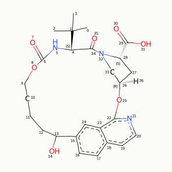 CC(C)(C)[C@@H]1NC(=O)OCCCCC(O)c2ccc3ccnc(c3c2)O[C@@H]2C[C@@H](C(=O)O)N(C2)C1=O